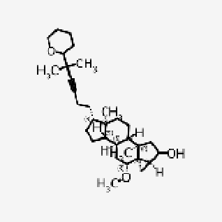 CO[C@@H]1C[C@H]2[C@@H]3CC[C@H](CCC#CC(C)(C)C4CCCCO4)[C@@]3(C)CC[C@@H]2[C@@]2(C)CC(O)[C@H]3C[C@]312